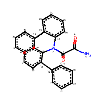 NC(=O)C(=O)N(c1ccccc1-c1ccccc1)c1ccccc1-c1ccccc1